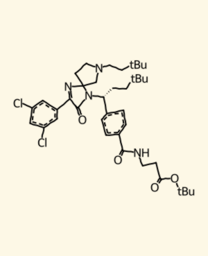 CC(C)(C)CC[C@H](c1ccc(C(=O)NCCC(=O)OC(C)(C)C)cc1)N1C(=O)C(c2cc(Cl)cc(Cl)c2)=NC12CCN(CCC(C)(C)C)C2